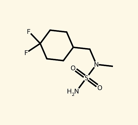 CN(CC1CCC(F)(F)CC1)S(N)(=O)=O